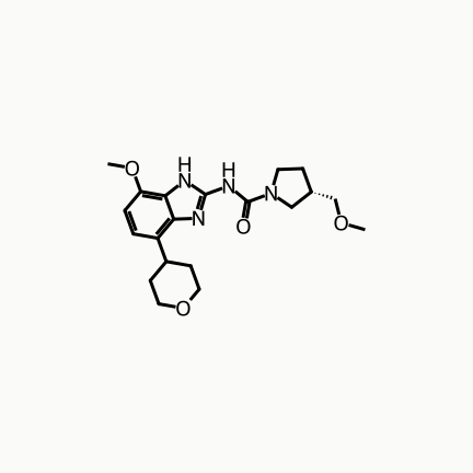 COC[C@H]1CCN(C(=O)Nc2nc3c(C4CCOCC4)ccc(OC)c3[nH]2)C1